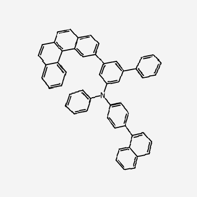 c1ccc(-c2cc(-c3ccc4ccc5ccc6ccccc6c5c4c3)cc(N(c3ccccc3)c3ccc(-c4cccc5ccccc45)cc3)c2)cc1